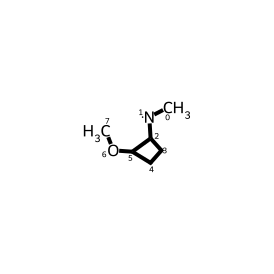 C[N]C1CCC1OC